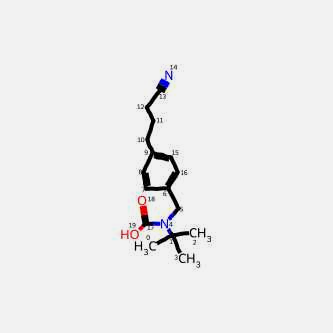 CC(C)(C)N(Cc1ccc(CCCC#N)cc1)C(=O)O